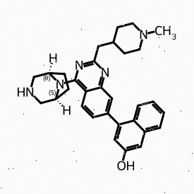 CN1CCC(Cc2nc(N3[C@@H]4CC[C@H]3CNC4)c3ccc(-c4cc(O)cc5ccccc45)cc3n2)CC1